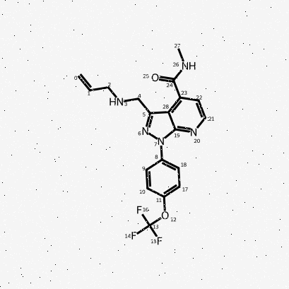 C=CCNCc1nn(-c2ccc(OC(F)(F)F)cc2)c2nccc(C(=O)NC)c12